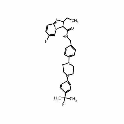 CCC1N=C2C=CC(F)=CN2C1C(=O)NCc1ccc(N2CCN(c3ccc(C(C)(C)F)cc3)CC2)cc1